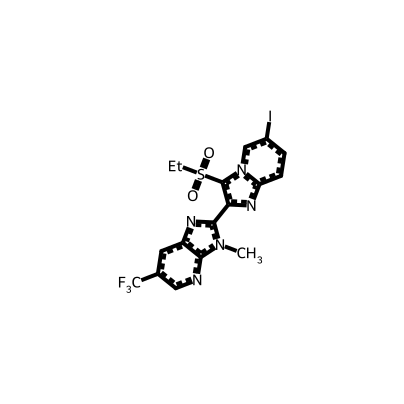 CCS(=O)(=O)c1c(-c2nc3cc(C(F)(F)F)cnc3n2C)nc2ccc(I)cn12